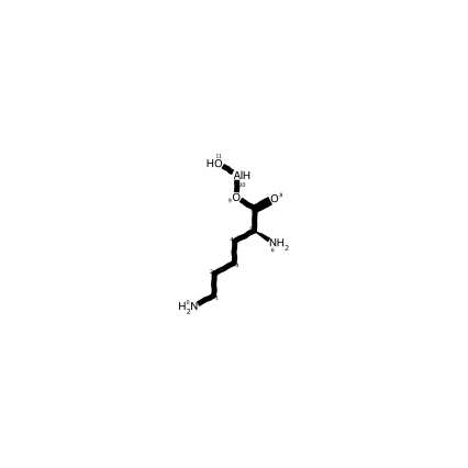 NCCCC[C@H](N)C(=O)[O][AlH][OH]